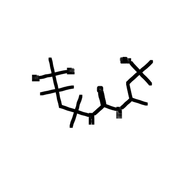 CCC(C)(CC)C(C)(C)CC(C)(C)NC(=O)NC(C)CC(C)(C)C(C)(C)C